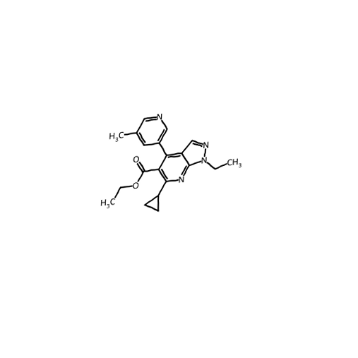 CCOC(=O)c1c(C2CC2)nc2c(cnn2CC)c1-c1cncc(C)c1